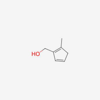 CC1=C(CO)C=CC1